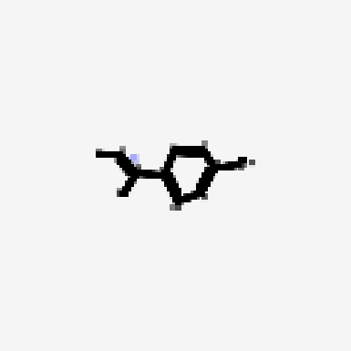 C/C=C(\C)c1ccc(F)cc1